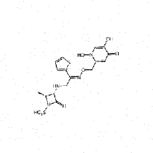 C[C@H]1[C@H](NCC(=NOCc2cc(=O)c(O)cn2O)c2cccs2)C(=O)N1S(=O)(=O)O